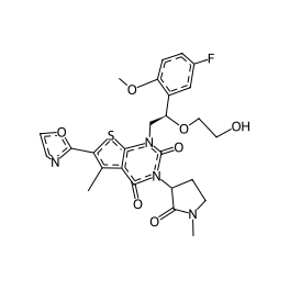 COc1ccc(F)cc1[C@H](Cn1c(=O)n(C2CCN(C)C2=O)c(=O)c2c(C)c(-c3ncco3)sc21)OCCO